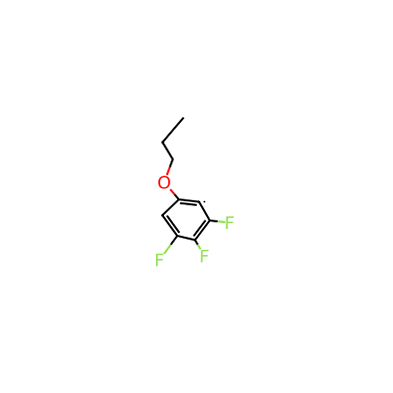 CCCOc1[c]c(F)c(F)c(F)c1